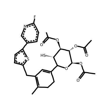 CC(=O)O[C@H]1OC(C2=CC(Cc3ccc(-c4ccc(F)nc4)s3)=C(C)CC2)[C@H](S)[C@@H](OC(C)=O)[C@@H]1OC(C)=O